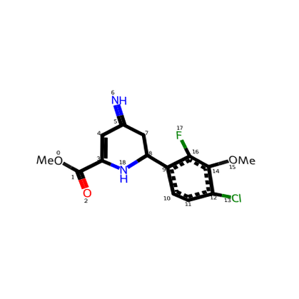 COC(=O)C1=CC(=N)CC(c2ccc(Cl)c(OC)c2F)N1